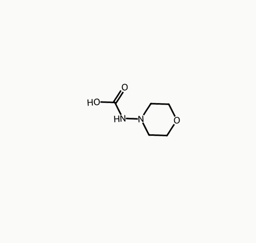 O=C(O)NN1CCOCC1